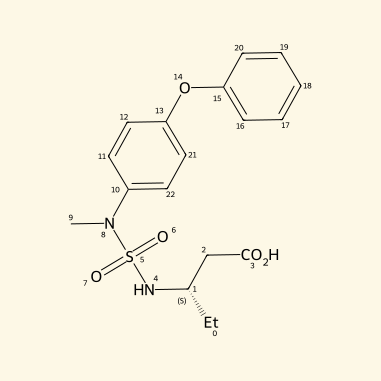 CC[C@@H](CC(=O)O)NS(=O)(=O)N(C)c1ccc(Oc2ccccc2)cc1